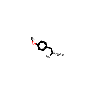 CCOc1ccc(C[C@H](NC)C(C)=O)cc1